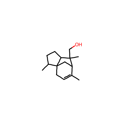 CC1=CCC23CC1C(C)(CO)C2CCC3C